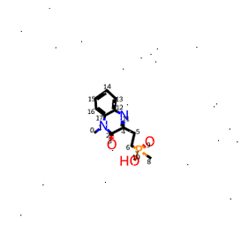 Cn1c(=O)c(CCP(C)(=O)O)nc2ccccc21